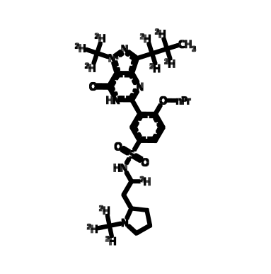 [2H]C(CC1CCCN1C([2H])([2H])[2H])NS(=O)(=O)c1ccc(OCCC)c(-c2nc3c(C([2H])([2H])C([2H])([2H])C)nn(C([2H])([2H])[2H])c3c(=O)[nH]2)c1